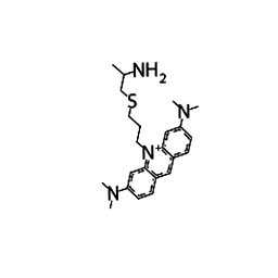 CC(N)CSCCC[n+]1c2cc(N(C)C)ccc2cc2ccc(N(C)C)cc21